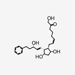 O=C(CO)CCC/C=C\C[C@@H]1[C@@H](/C=C/[C@@H](O)CCc2ccccc2)[C@H](O)C[C@@H]1O